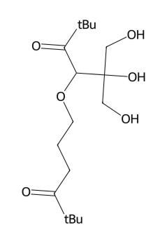 CC(C)(C)C(=O)CCCOC(C(=O)C(C)(C)C)C(O)(CO)CO